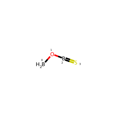 BOB=S